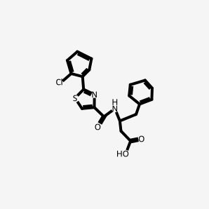 O=C(O)CC(Cc1ccccc1)NC(=O)c1csc(-c2ccccc2Cl)n1